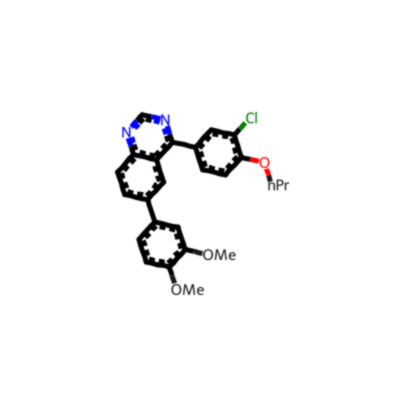 CCCOc1ccc(-c2ncnc3ccc(-c4ccc(OC)c(OC)c4)cc23)cc1Cl